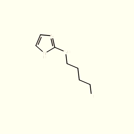 CCCCCNc1ncc[nH]1